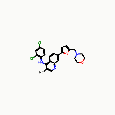 N#Cc1cnc2cc(-c3ccc(CN4CCOCC4)o3)ccc2c1Nc1ccc(Cl)cc1Cl